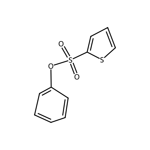 O=S(=O)(Oc1ccccc1)c1cccs1